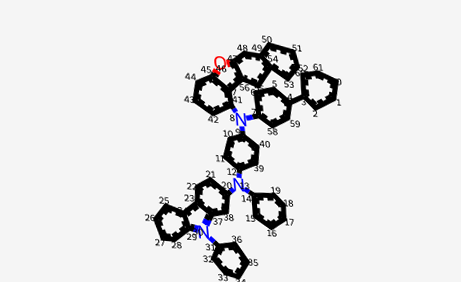 c1ccc(-c2ccc(N(c3ccc(N(c4ccccc4)c4ccc5c6ccccc6n(-c6ccccc6)c5c4)cc3)c3cccc4oc5cc6ccccc6cc5c34)cc2)cc1